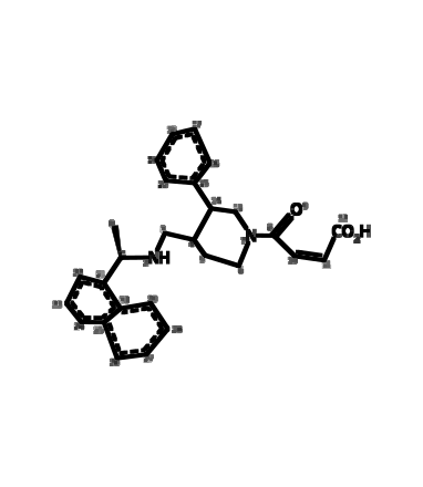 C[C@@H](NCC1CCN(C(=O)/C=C\C(=O)O)CC1c1ccccc1)c1cccc2ccccc12